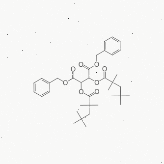 CC(C)(C)CC(C)(C)C(=O)OC(C(=O)OCc1ccccc1)C(OC(=O)C(C)(C)CC(C)(C)C)C(=O)OCc1ccccc1